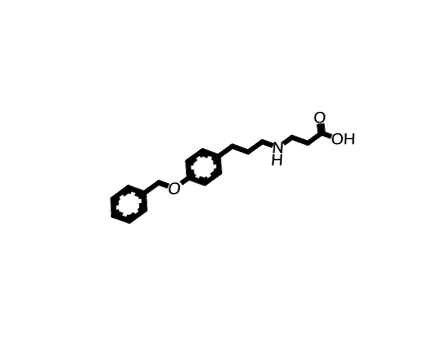 O=C(O)CCNCCCc1ccc(OCc2ccccc2)cc1